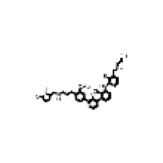 COc1cc(-c2nccc(-c3cccc(Nc4nccc(CNCCO)c4F)c3Cl)c2Cl)ccc1CCCNCC1CCC(=O)N1